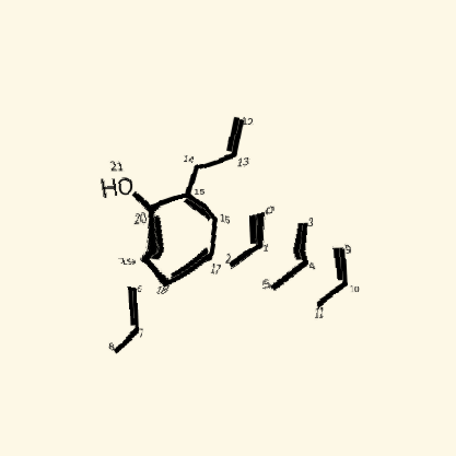 C=CC.C=CC.C=CC.C=CC.C=CCc1ccccc1O